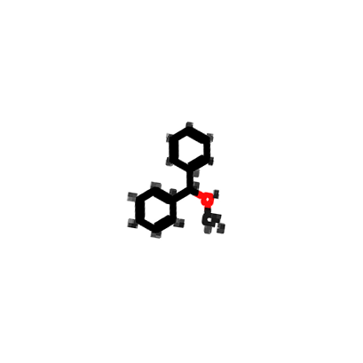 FC(F)(F)OC(c1ccccc1)c1ccccc1